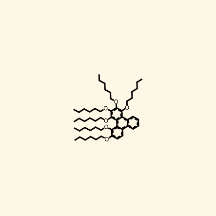 CCCCCCOc1ccc2c3ccccc3c3c(OCCCCCC)c(OCCCCCC)c(OCCCCCC)c(OCCCCCC)c3c2c1OCCCCCC